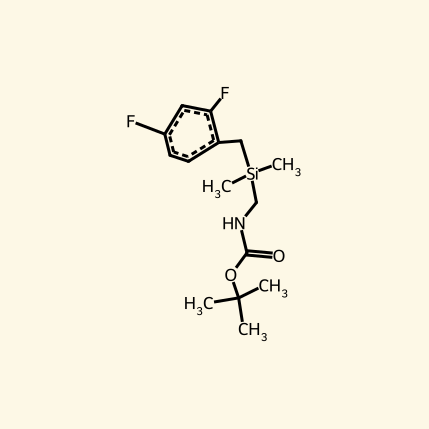 CC(C)(C)OC(=O)NC[Si](C)(C)Cc1ccc(F)cc1F